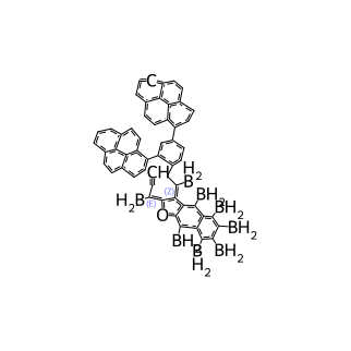 B/C(Cc1ccc(-c2ccc3ccc4cccc5ccc2c3c45)cc1-c1ccc2ccc3cccc4ccc1c2c34)=c1/c(=C(/B)C#C)oc2c(B)c3c(B)c(B)c(B)c(B)c3c(B)c12